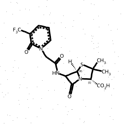 CC1(C)S[C@@H]2C(NC(=O)Cn3cccc(C(F)(F)F)c3=O)C(=O)N2[C@H]1C(=O)O